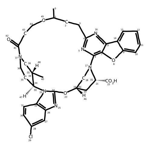 CC1CCc2nc(c3oc4ccccc4c3n2)N2C[C@H](C[C@H]2C(=O)O)Oc2nc3cc(Cl)ccc3n2[C@H]2CCN(C[C@@H]2C)C(=O)CCO1